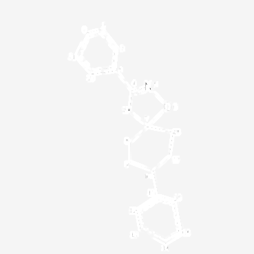 c1ccc(C2=NOC3(CCC(c4ccccc4)CC3)C2)cc1